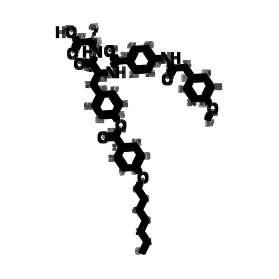 CCCCCCCOc1ccc(C(=O)Oc2ccc(CC(NC(=O)c3ccc(NC(=O)Cc4ccc(OC)cc4)cc3)C(=O)N[C@@H](C)C(=O)O)cc2)cc1